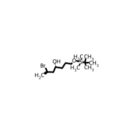 C=C(Br)C[C@H](O)CCCO[Si](C)(C)C(C)(C)C